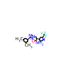 Cc1cc(C)cc(-c2ncn(C=C(C(N)=O)c3ccnc(C(F)(F)F)c3)n2)c1